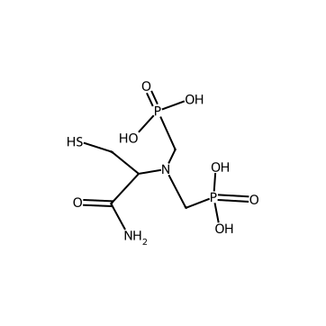 NC(=O)C(CS)N(CP(=O)(O)O)CP(=O)(O)O